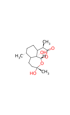 C[C@@H]1CCC2[C@@H](C)C(=O)O[C@@H]3O[C@](C)(O)CCC1[C@@]23O